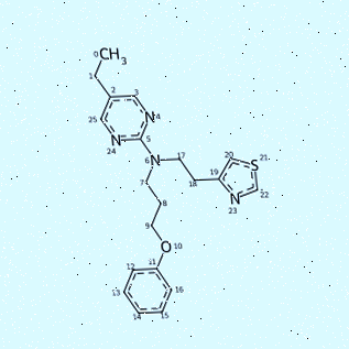 CCc1cnc(N(CCCOc2ccccc2)CCc2cs[c]n2)nc1